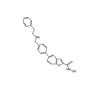 O=C(NO)c1cc2cc(-c3ccc(CNCCc4ccccc4)cc3)ccc2s1